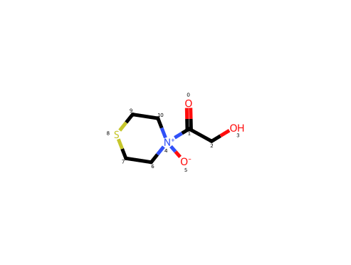 O=C(CO)[N+]1([O-])CCSCC1